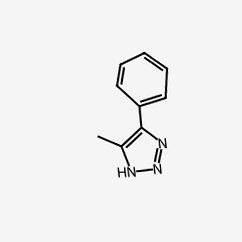 Cc1[nH]nnc1-c1ccccc1